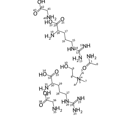 CC(N)=O.C[N+](C)(C)CCO.N=C(N)NCCCC(N)C(=O)O.N=C(N)NCCCC(N)C(=O)O.NCC(=O)O.NCC(=O)O